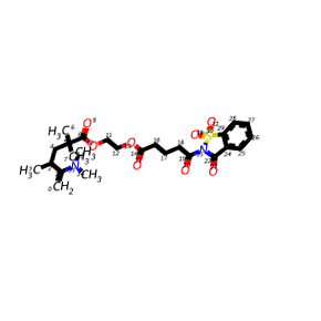 C=C(C(C)CC(C)(C)C(=O)OCCOC(=O)CCCC(=O)N1C(=O)c2ccccc2S1(=O)=O)N(C)C